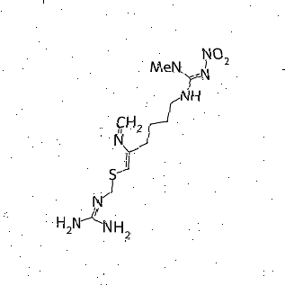 C=N/C(=C\SCN=C(N)N)CCCCN/C(=N/[N+](=O)[O-])NC